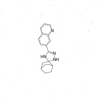 c1cnc2cc(C3=NNC4(CC5CCC4CC5)N3)ccc2c1